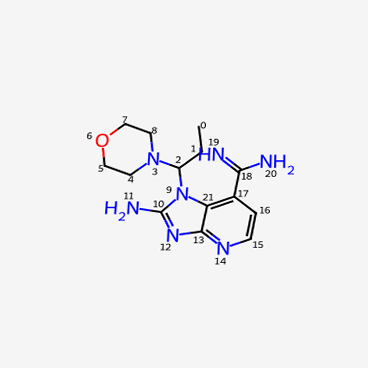 CCC(N1CCOCC1)n1c(N)nc2nccc(C(=N)N)c21